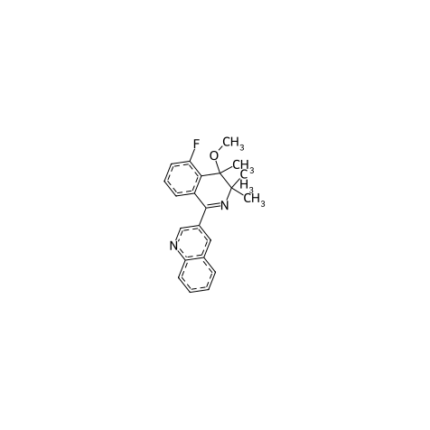 COC1(C)c2c(F)cccc2C(c2cnc3ccccc3c2)=NC1(C)C